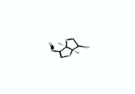 O=NC1CO[C@@H]2C(O)CO[C@H]12